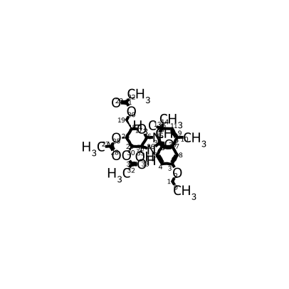 CCOc1ccc2c(c1)C(C)=CC(C)(C)N2C1O[C@H](COC(C)=O)[C@@H](OC(C)=O)[C@H](OC(C)=O)[C@]1(O)NC(C)=O